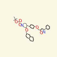 CC(C)(C)OC(=O)ON1CCC(c2ccc(OCc3cc(-c4ccccc4)no3)cc2)C(OCc2ccc3ccccc3c2)C1